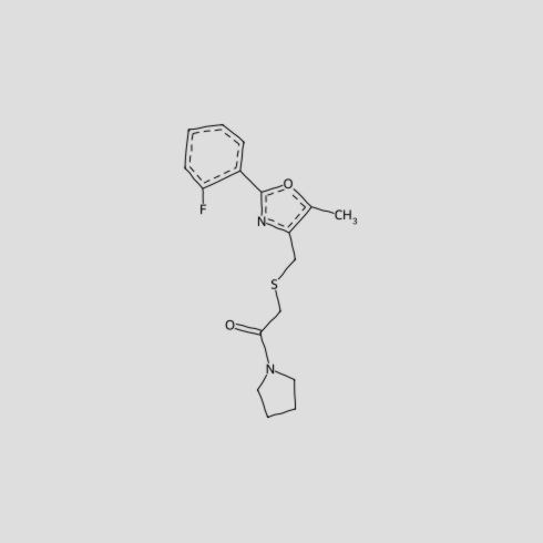 Cc1oc(-c2ccccc2F)nc1CSCC(=O)N1CCCC1